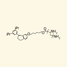 CC(C)c1cc(C2=Cc3cc(OCCCCCCOC(=O)C(C)(C)C(N)CC(C)(C)N)ccc3CCC2)cc(C(C)C)c1